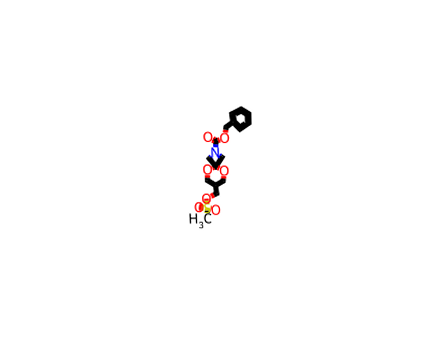 CS(=O)(=O)OCC1COC2(CN(C(=O)OCc3ccccc3)C2)OC1